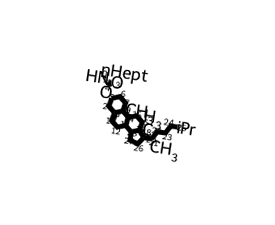 CCCCCCCNC(=O)OC1CCC2(C)C(=CCC3C2CCC2(C)C(C(C)CCCC(C)C)CCC32)C1